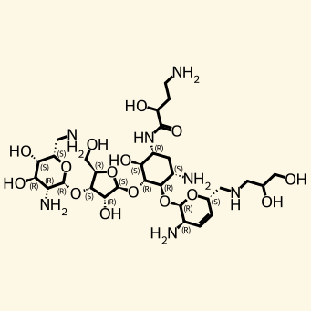 NCCC(O)C(=O)N[C@@H]1C[C@H](N)[C@@H](O[C@H]2O[C@H](CNCC(O)CO)C=C[C@H]2N)[C@H](O[C@@H]2O[C@H](CO)[C@@H](O[C@H]3O[C@@H](CN)[C@@H](O)[C@H](O)[C@H]3N)[C@H]2O)[C@H]1O